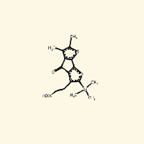 CCCCCCCCCCCCc1c([Si](C)(C)C)sc2c1C(=O)c1c-2sc(C)c1C